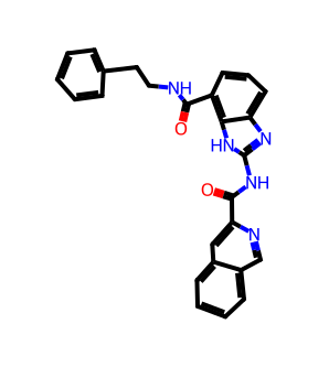 O=C(Nc1nc2cccc(C(=O)NCCc3ccccc3)c2[nH]1)c1cc2ccccc2cn1